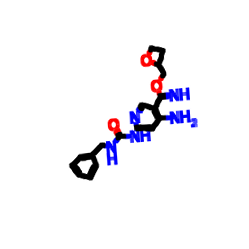 N=C(OCC1CCO1)c1cnc(NC(=O)NCc2ccccc2)cc1N